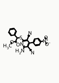 COC(=O)C(Sc1nc(N)c(C#N)c(-c2ccc([N+](=O)[O-])cc2)c1C#N)c1ccccc1